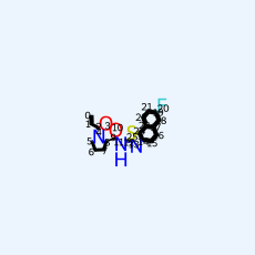 C=CC(=O)N1CCC[C@@H]1C(=O)Nc1nc2ccc3cc(F)ccc3c2s1